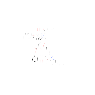 CCCCCCCCCC[C@@H](C)CN(CCCCC(C)C(=O)OC(CCCCN(C[C@H](O)CCCCCCCCCC)C[C@@H](CCCCCCCCCC)O[Si](C)(C)C(C)(C)C)C(=O)OCc1ccccc1)C[C@H](O)CCCCCCCCCC